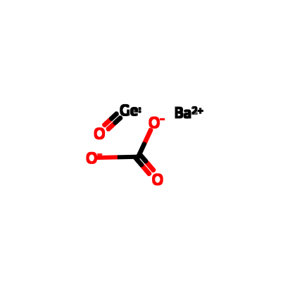 O=C([O-])[O-].[Ba+2].[O]=[Ge]